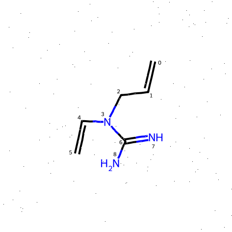 C=CCN(C=C)C(=N)N